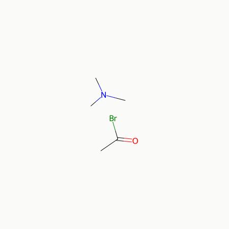 CC(=O)Br.CN(C)C